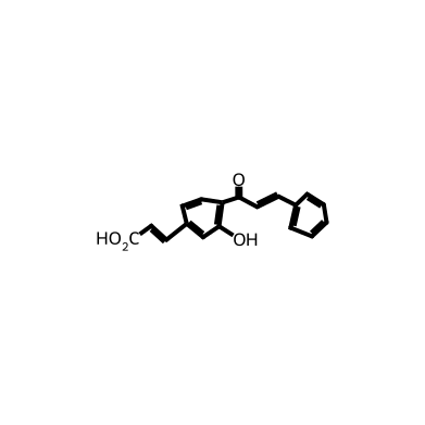 O=C(O)C=Cc1ccc(C(=O)C=Cc2ccccc2)c(O)c1